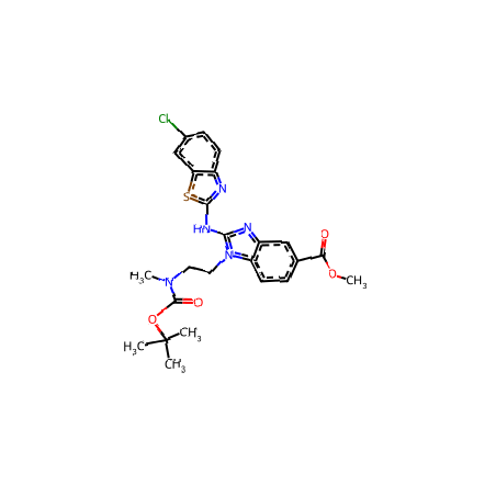 COC(=O)c1ccc2c(c1)nc(Nc1nc3ccc(Cl)cc3s1)n2CCN(C)C(=O)OC(C)(C)C